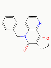 O=c1c2c(c3ncccc3n1Cc1ccccc1)OCC2